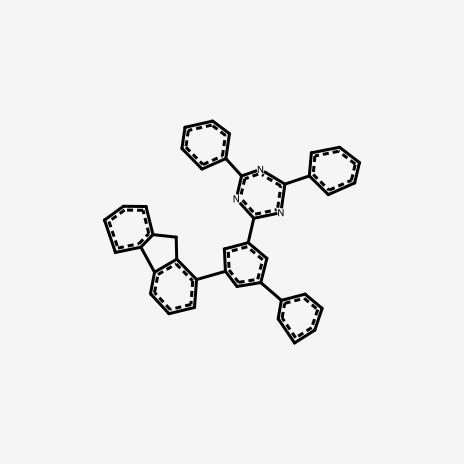 c1ccc(-c2cc(-c3nc(-c4ccccc4)nc(-c4ccccc4)n3)cc(-c3cccc4c3Cc3ccccc3-4)c2)cc1